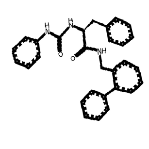 O=C(Nc1ccccc1)N[C@@H](Cc1ccccc1)C(=O)NCc1ccccc1-c1ccccc1